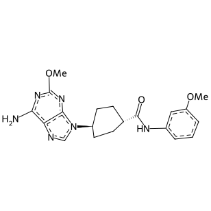 COc1cccc(NC(=O)[C@H]2CC[C@H](n3cnc4c(N)nc(OC)nc43)CC2)c1